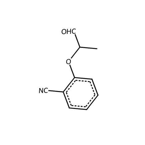 CC(C=O)Oc1ccccc1C#N